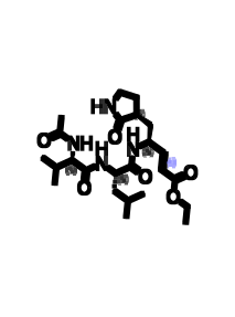 CCOC(=O)/C=C/[C@H](C[C@@H]1CCNC1=O)NC(=O)[C@H](CC(C)C)NC(=O)[C@@H](NC(C)=O)C(C)C